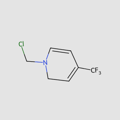 FC(F)(F)C1=CCN(CCl)C=C1